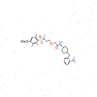 COc1cc(C)c(S(=O)(=O)N(C)CCOCC(=O)NC2CCC(Cc3ccccc3N(C)C)CC2)c(C)c1C